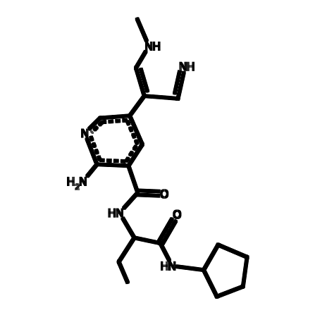 CCC(NC(=O)c1cc(/C(C=N)=C/NC)cnc1N)C(=O)NC1CCCC1